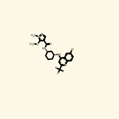 COc1c(C(=O)N[C@@H]2CCC[C@H](Nc3cc(C(F)(F)F)nc4ccc(Cl)cc34)C2)cnn1C